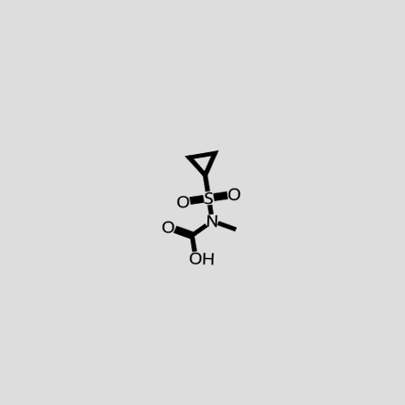 CN(C(=O)O)S(=O)(=O)C1CC1